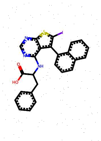 O=C(O)C(Cc1ccccc1)Nc1ncnc2sc(I)c(-c3cccc4ccccc34)c12